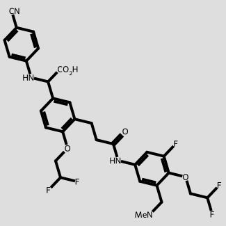 CNCc1cc(NC(=O)CCc2cc(C(Nc3ccc(C#N)cc3)C(=O)O)ccc2OCC(F)F)cc(F)c1OCC(F)F